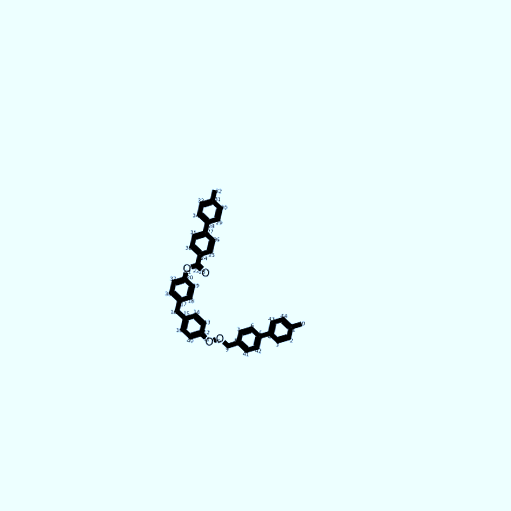 Cc1ccc(-c2ccc(COOc3ccc(Cc4ccc(OC(=O)c5ccc(-c6ccc(C)cc6)cc5)cc4)cc3)cc2)cc1